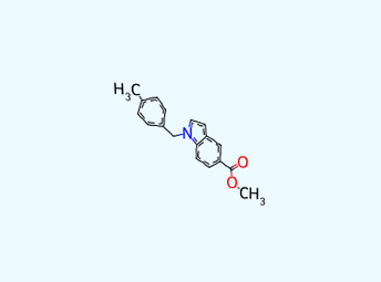 COC(=O)c1ccc2c(ccn2Cc2ccc(C)cc2)c1